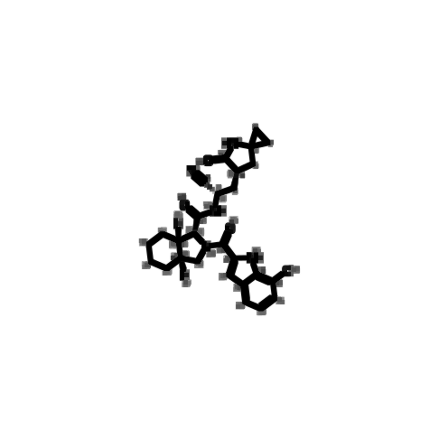 N#C[C@H](C[C@@H]1CC2(CC2)NC1=O)NC(=O)[C@@H]1[C@H]2CCCC[C@H]2CN1C(=O)c1cc2cccc(Cl)c2[nH]1